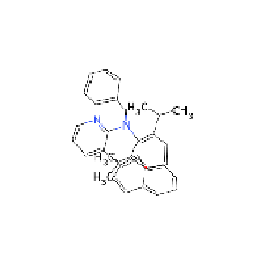 CC(C)c1cccc(C(C)C)c1N(Cc1ccccc1)c1ncccc1-c1ccc2ccccc2c1